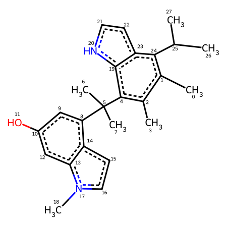 Cc1c(C)c(C(C)(C)c2cc(O)cc3c2ccn3C)c2[nH]ccc2c1C(C)C